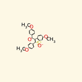 COc1ccc(C(=O)c2c(-c3ccc(OC)cc3)[s+]([O-])c3cc(OC)ccc23)cc1